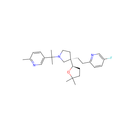 Cc1ccc(C(C)(C)N2CC[C@@](CCc3ccc(F)cn3)([C@H]3CCC(C)(C)O3)C2)cn1